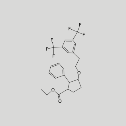 CCOC(=O)C1CCC(OCCc2cc(C(F)(F)F)cc(C(F)(F)F)c2)C1c1ccccc1